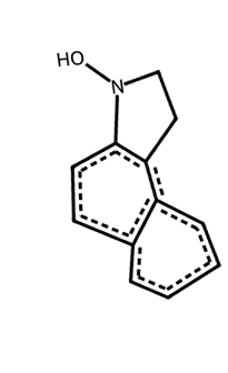 ON1CCc2c1ccc1ccccc21